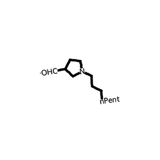 CCCCCCCCN1CCC([C]=O)C1